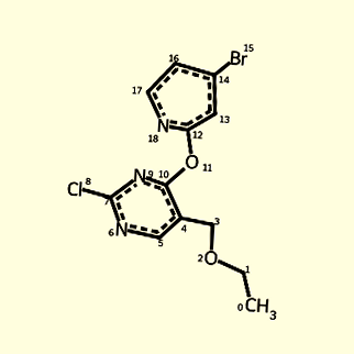 CCOCc1cnc(Cl)nc1Oc1cc(Br)ccn1